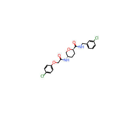 O=C(COc1ccc(Cl)cc1)N[C@H]1CC[C@H](C(=O)NCc2cccc(Cl)c2)OC1